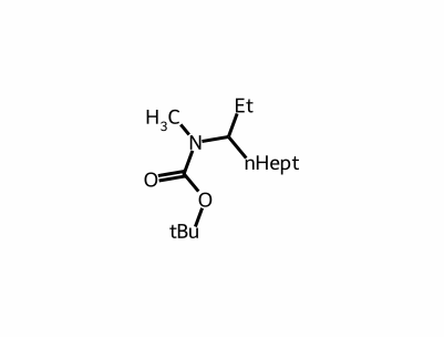 CCCCCCCC(CC)N(C)C(=O)OC(C)(C)C